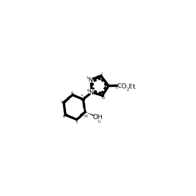 CCOC(=O)c1cnn(C2CCCC[C@H]2O)c1